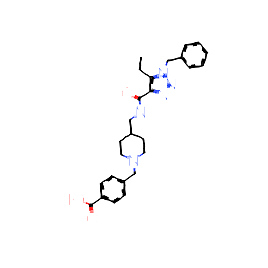 CCc1c(C(=O)NCC2CCN(Cc3ccc(C(=O)O)cc3)CC2)nnn1Cc1ccccc1